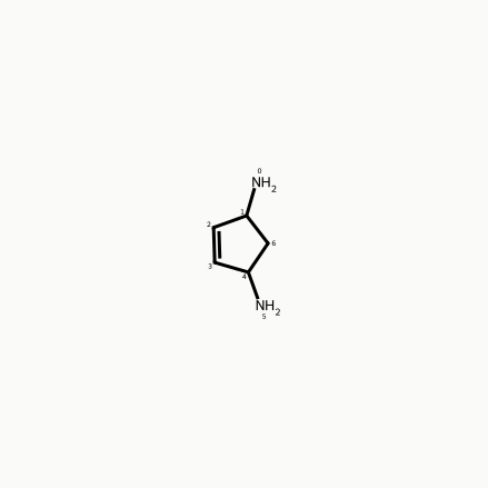 NC1C=CC(N)C1